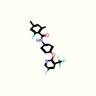 Cc1cc(C)c(C(=O)Nc2ccc(Oc3ncc(F)cc3C(F)(F)F)cc2)c(F)c1